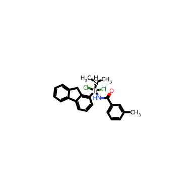 Cc1cccc(C(=O)[NH][Ti]([Cl])([Cl])([c]2cccc3c2Cc2ccccc2-3)[SiH](C)C)c1